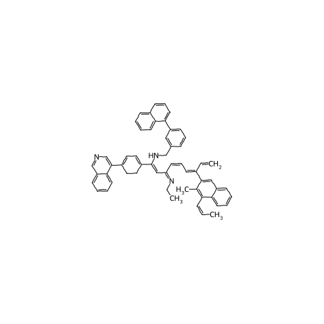 C=C\C(=C/C=C\C(\C=C(/NCc1cccc(-c2cccc3ccccc23)c1)C1=CC=C(c2cncc3ccccc23)CC1)=N\CC)c1cc2ccccc2c(/C=C\C)c1C